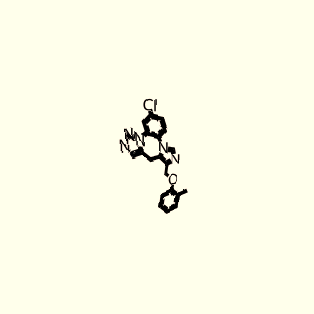 Cc1ccccc1OCc1ncn2c1Cc1cnnn1-c1cc(Cl)ccc1-2